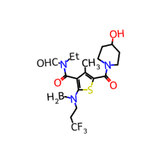 BN(CCC(F)(F)F)c1sc(C(=O)N2CCC(O)CC2)c(C)c1C(=O)N(C=O)CC